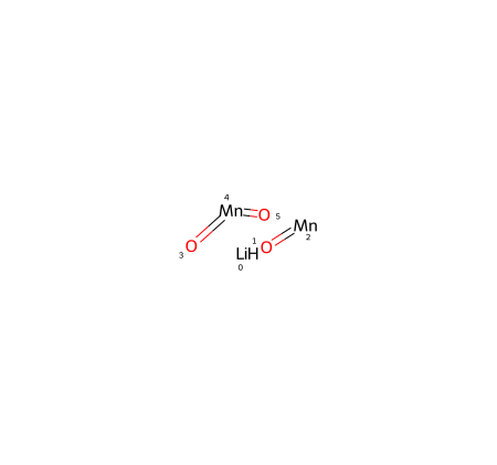 [LiH].[O]=[Mn].[O]=[Mn]=[O]